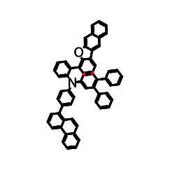 c1ccc(-c2ccc(N(c3ccc(-c4cccc5c4ccc4ccccc45)cc3)c3ccccc3-c3cccc4c3oc3cc5ccccc5cc34)cc2-c2ccccc2)cc1